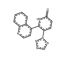 O=c1ccc(-n2ncnn2)c(-c2ccnc3ccccc23)[nH]1